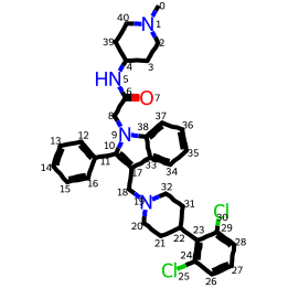 CN1CCC(NC(=O)Cn2c(-c3ccccc3)c(CN3CCC(c4c(Cl)cccc4Cl)CC3)c3ccccc32)CC1